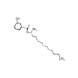 CCCCCCCCCCCC(N)OC(=O)c1cccc(O)c1